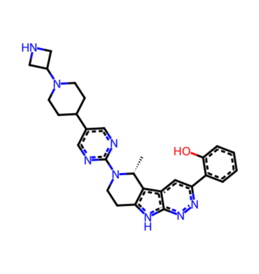 C[C@@H]1c2c([nH]c3nnc(-c4ccccc4O)cc23)CCN1c1ncc(C2CCN(C3CNC3)CC2)cn1